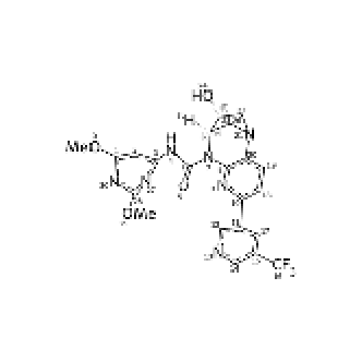 COc1cc(NC(=O)N2c3nc(-c4cncc(C(F)(F)F)c4)ccc3N3C[C@@H](O)[C@H]2C3)nc(OC)n1